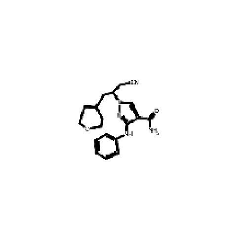 N#CCC(CC1CCOCC1)n1cc(C(N)=O)c(Nc2ccccc2)n1